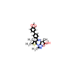 Cc1sc2c(c1C)C(c1ccc(-c3ccc4c(c3)OCO4)cc1)=N[C@@H](C(C)C(=O)O)c1nnc(C)n1-2